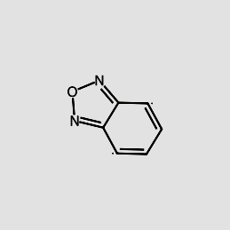 [c]1cc[c]c2nonc12